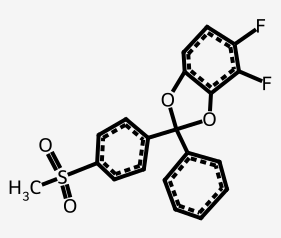 CS(=O)(=O)c1ccc(C2(c3ccccc3)Oc3ccc(F)c(F)c3O2)cc1